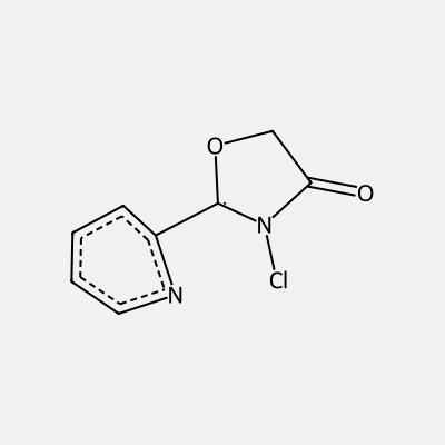 O=C1CO[C](c2ccccn2)N1Cl